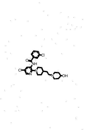 O=C(Nc1cc(Cl)cnc1N1CCC(CCN2CCC(O)CC2)CC1)c1cccc(Cl)c1